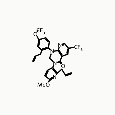 C=CCc1cc(OC(F)(F)F)ccc1N1CN(c2ccc(OC)nc2CC=C)C(=O)c2cc(C(F)(F)F)cnc21